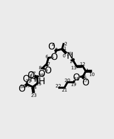 C=C(C)C(=O)OCC1CO1.C=C(C=CC#N)C(=O)OCCCC.C=C(CC(=O)O)C(=O)O